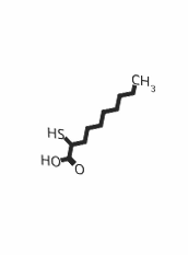 CCCCCCCCC(S)C(=O)O